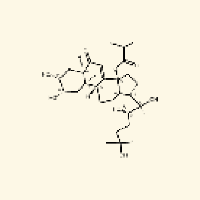 CC(C)C(=O)O[C@@]12CC[C@H]([C@@](C)(O)[C@H](O)CCC(C)(C)O)[C@@]1(C)CC[C@H]1C2=CC(=O)[C@@H]2C[C@@H](O)[C@@H](O)C[C@@]21C